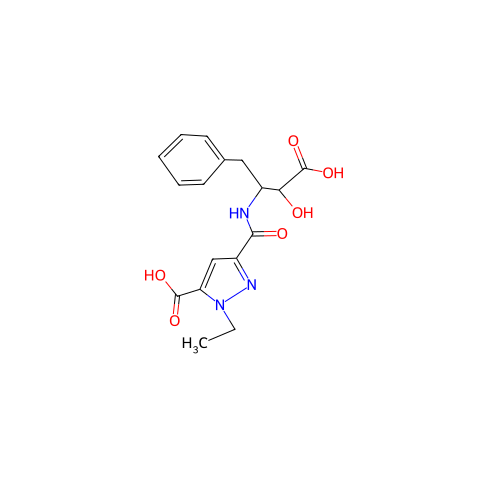 CCn1nc(C(=O)NC(Cc2ccccc2)C(O)C(=O)O)cc1C(=O)O